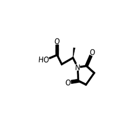 C[C@H](CC(=O)O)N1C(=O)CCC1=O